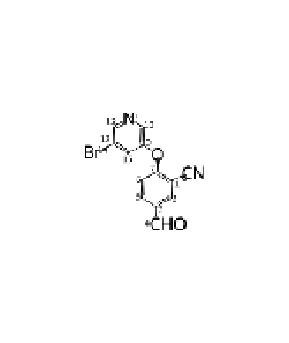 N#Cc1cc(C=O)ccc1Oc1cncc(Br)c1